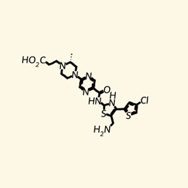 C[C@@H]1CN(c2cnc(C(=O)NC3NC(c4cc(Cl)cs4)=C(CN)S3)cn2)CCN1CCC(=O)O